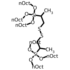 CCCCCCCCO[Si](OCCCCCCCC)(OCCCCCCCC)C(C)CSSCC(C)[Si](OCCCCCCCC)(OCCCCCCCC)OCCCCCCCC